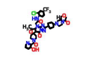 C[C@H]1OC2(CCN(C(=O)c3ncccc3O)CC2)c2c1n(CC(=O)Nc1ccc(C(F)(F)F)cc1Cl)c1nc(-c3ccc(N4CCN5C(=O)COC[C@@H]5C4)cc3)nn1c2=O